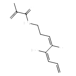 C=C/C=C(O)\C(O)=C/CCNC(=O)C(=C)C